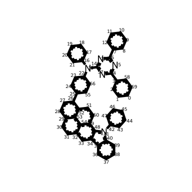 c1ccc(-c2nc(-c3ccccc3)nc(N(c3ccccc3)c3ccc(-c4ccc5ccc6cc7c8ccccc8n(-c8ccccc8)c7c7ccc4c5c67)cc3)n2)cc1